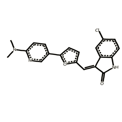 CN(C)c1ccc(-c2ccc(/C=C3/C(=O)Nc4ccc(Cl)cc43)o2)cn1